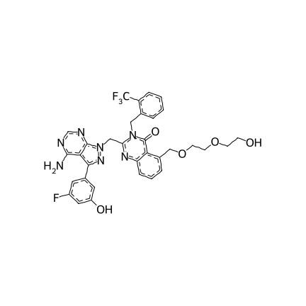 Nc1ncnc2c1c(-c1cc(O)cc(F)c1)nn2Cc1nc2cccc(COCCOCCO)c2c(=O)n1Cc1ccccc1C(F)(F)F